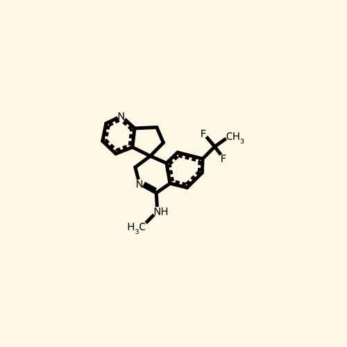 CNC1=NCC2(CCc3ncccc32)c2cc(C(C)(F)F)ccc21